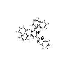 c1ccc2c(-c3cc(-c4nc5ccccc5o4)nc(-c4cncc5ccccc45)c3)cccc2c1